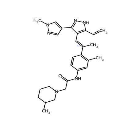 C=Cc1[nH]nc(-c2cnn(C)c2)c1/C=C(\C)c1ccc(NC(=O)CN2CCCC(C)C2)cc1C